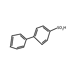 O=S(=O)(O)c1ccc(-c2cc[c]cc2)cc1